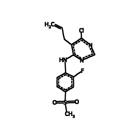 C=CCc1c(Cl)ncnc1Nc1ccc(S(C)(=O)=O)cc1F